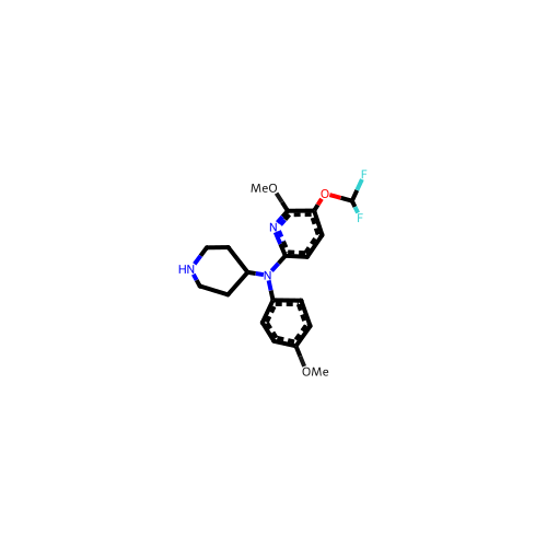 COc1ccc(N(c2ccc(OC(F)F)c(OC)n2)C2CCNCC2)cc1